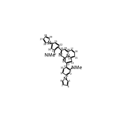 CNc1cc(-n2cccc2)ccc1C1=CC2=CC=CC3=CC(c4ccc(-n5cccc5)cc4NC)=NC(=N1)N23